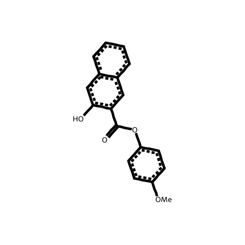 COc1ccc(OC(=O)c2cc3ccccc3cc2O)cc1